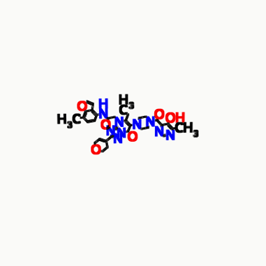 CCc1c(N2CCN(C(=O)c3ncnc(C)c3O)CC2)c(=O)n2nc(C3=CCOCC3)nc2n1CC(=O)Nc1ccc(C)c2occc12